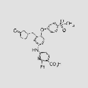 CCc1nc(Nc2ccc(Oc3ccc(S(C)(=O)=O)cc3)c(CC3CCC(=O)C3)c2)ccc1C(=O)O